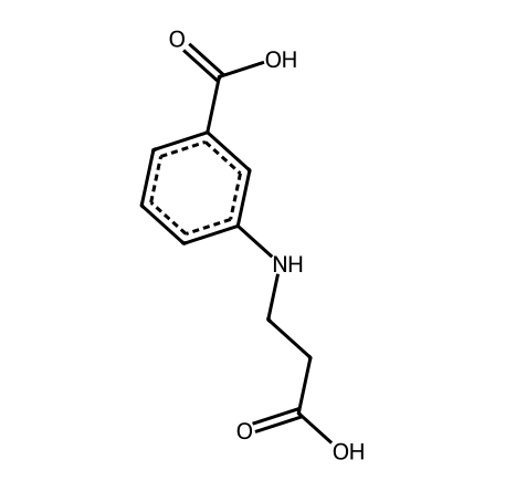 O=C(O)CCNc1cccc(C(=O)O)c1